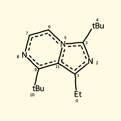 CCc1nc(C(C)(C)C)n2ccnc(C(C)(C)C)c12